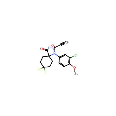 C#CC(=O)N(c1ccc(OC(C)(C)C)c(Cl)c1)C1(C(N)=O)CCC(F)(F)CC1